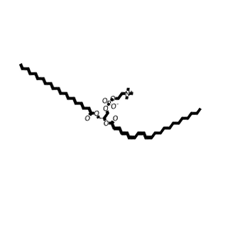 CCCCCCCCCCC\C=C/C=C\C=C/C=C/C=CC(=O)O[C@H](COC(=O)CCCCCCCCCCCCCCCCCCC)COP(=O)([O-])OCC[N+](C)(C)C